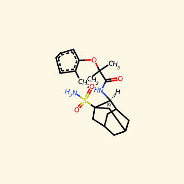 Cc1ccccc1OC(C)(C)C(=O)N[C@H]1C2CC3CC(C2)CC1(S(N)(=O)=O)C3